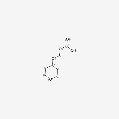 OB(O)OCOC1CCOCC1